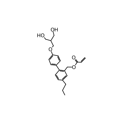 C=CC(=O)OCc1cc(CCC)ccc1-c1ccc(OCC(CO)CO)cc1